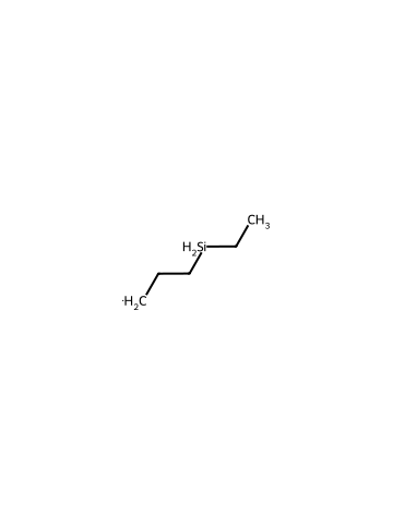 [CH2]CC[SiH2]CC